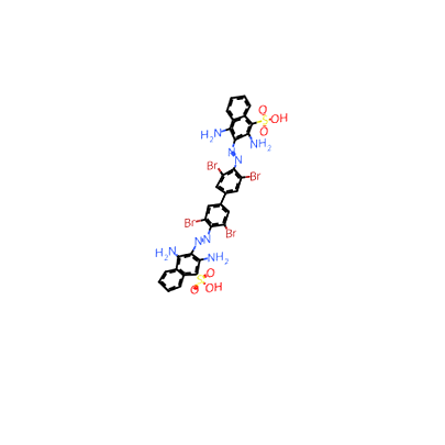 Nc1c(/N=N/c2c(Br)cc(-c3cc(Br)c(/N=N/c4c(N)c(S(=O)(=O)O)c5ccccc5c4N)c(Br)c3)cc2Br)c(N)c2ccccc2c1S(=O)(=O)O